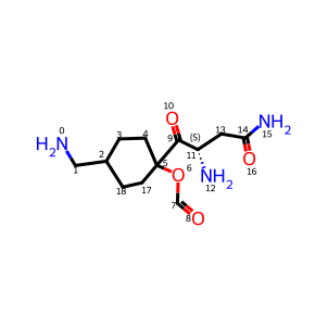 NCC1CCC(OC=O)(C(=O)[C@@H](N)CC(N)=O)CC1